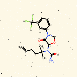 C=CCCC(C)(C)N(C(N)=O)C1OCN(c2cccc(C(F)(F)F)c2)C1=O